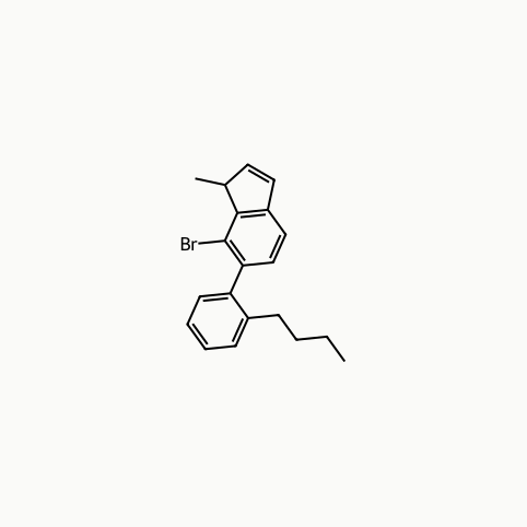 CCCCc1ccccc1-c1ccc2c(c1Br)C(C)C=C2